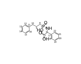 O=C(O)C(NP(=O)(O)CCCc1ccccc1)c1ccccc1